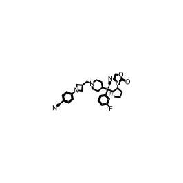 N#Cc1ccc(N2CC(CN3CCC([C@@](C#N)(c4cccc(F)c4)[C@H]4CCC[C@@H]4n4ccoc4=O)CC3)C2)cc1